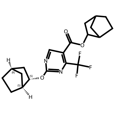 O=C(OC1CC2CCC1C2)c1cnc(O[C@H]2C[C@@H]3CC[C@H]2C3)nc1C(F)(F)F